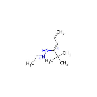 C=C/C=C(\N/N=C/C)C(C)(C)C